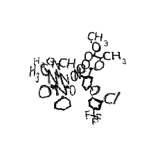 CCOC(=O)C(C)OC(=O)c1cc(Oc2ccc(C(F)(F)F)cc2Cl)ccc1[N+](=O)[O-].CN(C)c1nc(=O)n(C2CCCCC2)c(=O)n1C